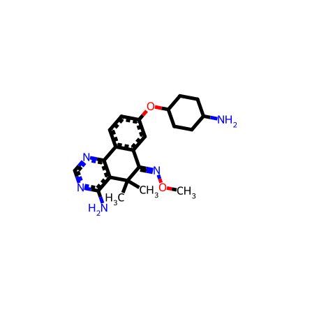 CO/N=C1/c2cc(OC3CCC(N)CC3)ccc2-c2ncnc(N)c2C1(C)C